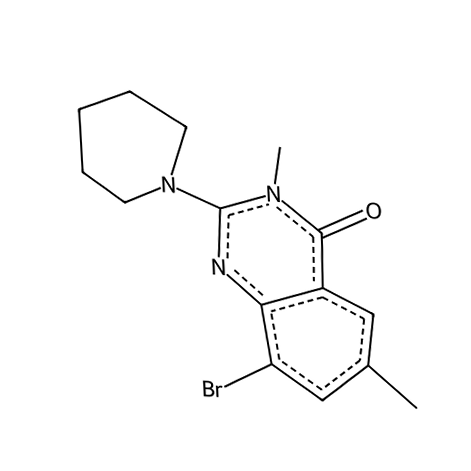 Cc1cc(Br)c2nc(N3CCCCC3)n(C)c(=O)c2c1